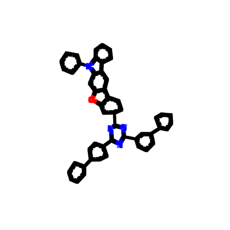 c1ccc(-c2ccc(-c3nc(-c4cccc(-c5ccccc5)c4)nc(-c4ccc5c(c4)oc4cc6c(cc45)c4ccccc4n6-c4ccccc4)n3)cc2)cc1